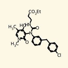 CCOC(=O)CCNC(=O)N(c1cccc(Cc2ccc(Cl)cc2)c1)c1c(O)c(C)cn(C)c1=O